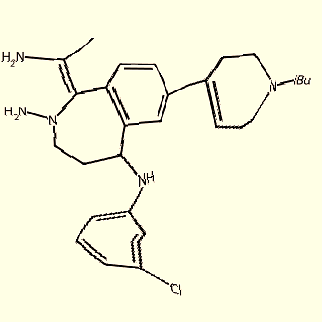 CCC(C)N1CC=C(c2ccc3c(c2)C(Nc2cccc(Cl)c2)CCN(N)/C3=C(/C)N)CC1